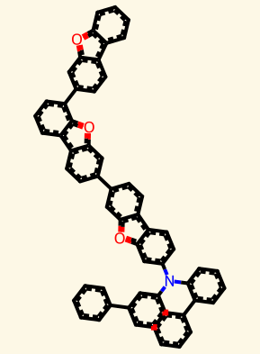 c1ccc(-c2cccc(N(c3ccc4c(c3)oc3cc(-c5ccc6c(c5)oc5c(-c7ccc8c(c7)oc7ccccc78)cccc56)ccc34)c3ccccc3-c3ccccc3)c2)cc1